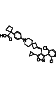 O=C(O)C1(c2ccc(N3CCC4(CC3)CC(=Cc3c(-c5c(Cl)cccc5Cl)noc3C3CC3)C4)cc2)CCC1